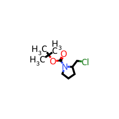 CC(C)(C)OC(=O)N1CCCC1CCl